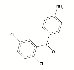 Nc1ccc([S+]([O-])c2cc(Cl)ccc2Cl)cc1